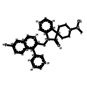 C[S+]([O-])N1CCC2(CC1)C(=O)N(Cc1ncc3cc(F)ccc3c1-c1cncnc1)c1cnccc12